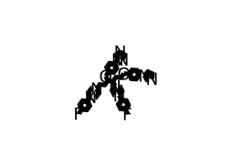 Fc1ccc(N2CCN(CCC(Oc3ccc(-n4cncn4)cc3)C(CCOc3ccc(-n4ccnc4)cc3)N3CCN(c4ccc(F)cc4)CC3)CC2)cc1